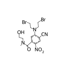 CN(CCO)C(=O)c1cc(N(CCBr)CCBr)c(C#N)cc1[N+](=O)[O-]